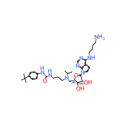 CC(C)N(CCCNC(=O)Nc1ccc(C(C)(C)C)cc1)C[C@H]1O[C@@H](n2ccc3c(NCCCCN)ncnc32)[C@@H](O)[C@H]1O